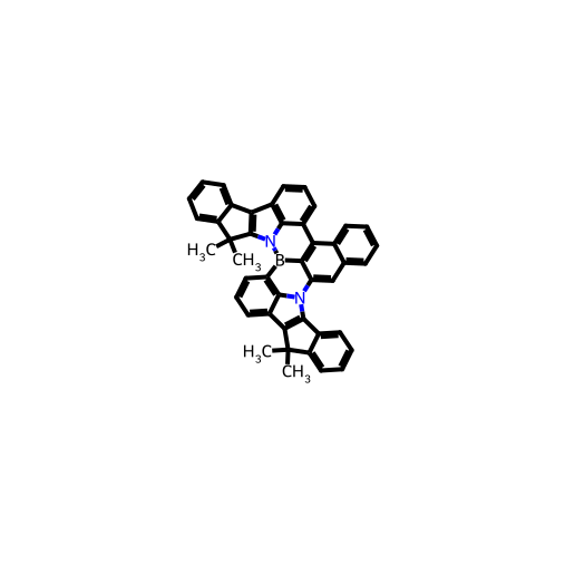 CC1(C)c2ccccc2-c2c1c1cccc3c1n2-c1cc2ccccc2c2c1B3n1c3c(c4cccc-2c41)-c1ccccc1C3(C)C